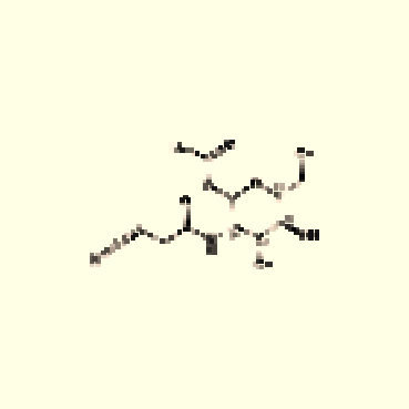 CC(=O)OC1O[C@H](CO)[C@@H](O)[C@H](O)[C@@H]1NC(=O)CN=[N+]=[N-]